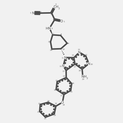 C=C(C#N)C(=O)N[C@H]1CC[C@H](n2nc(-c3ccc(Oc4ccccc4)cc3)c3c(N)ncnc32)CC1